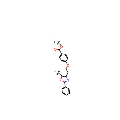 COC(=O)c1ccc(OCCc2nc(-c3ccccc3)oc2C)cc1